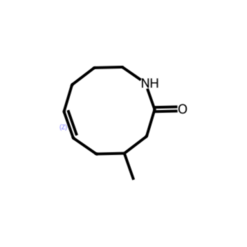 CC1C/C=C\CCCNC(=O)C1